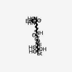 CCC(=O)NC(CCCCNC(=O)CO/N=C/[C@H]([18F])[C@@H](O)[C@H](O)[C@H](O)CC)C(N)=O